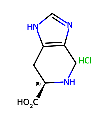 Cl.O=C(O)[C@H]1Cc2[nH]cnc2CN1